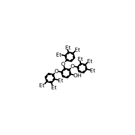 CCc1ccc(Oc2ccc(O)c(Oc3ccc(CC)c(CC)c3CC)c2Oc2ccc(CC)c(CC)c2CC)c(CC)c1CC